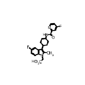 Cc1c(C2CCC(NC(=O)c3cc(F)ccn3)CC2)c2cc(F)ccc2n1CC(=O)O